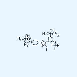 CC(C)(C)OC(=O)N1CCC(c2nc(-c3cc(SC(F)(F)F)cc(C(C)(C)C)c3)c(CI)s2)CC1